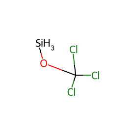 [SiH3]OC(Cl)(Cl)Cl